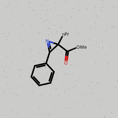 CCCC1(C(=O)OC)N=C1c1ccccc1